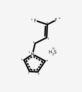 FC(F)=CCn1cccc1.S